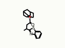 CC(CC(=O)N1C2CC3CC(C2)CC1C3)c1nc2ccccc2s1